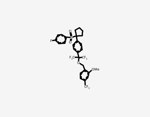 COc1cc(C(F)(F)F)ccc1COC(c1ccc(C2(S(=O)(=O)c3ccc(F)cc3)CCCC2)cc1)(C(F)(F)F)C(F)(F)F